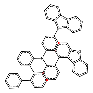 c1ccc(-c2ccccc2-c2ccccc2N(c2ccc(-n3c4ccccc4c4ccccc43)cc2)c2ccccc2-c2cccc3oc4ccccc4c23)cc1